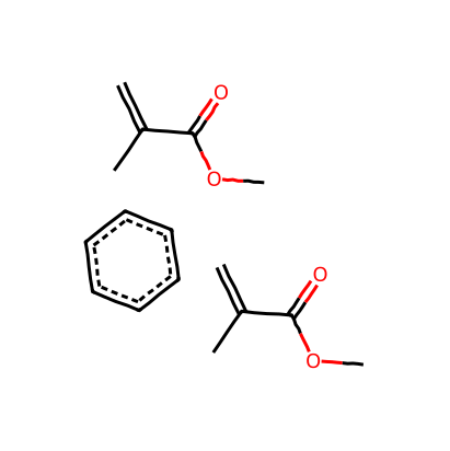 C=C(C)C(=O)OC.C=C(C)C(=O)OC.c1ccccc1